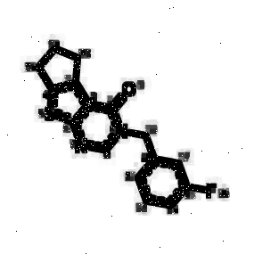 O=c1c2c3c(sc2ncn1Cc1cccc(F)c1)CCC3